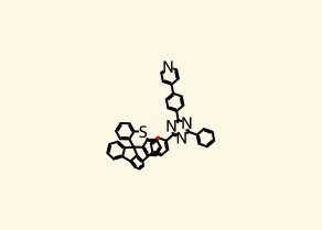 c1ccc(-c2nc(-c3ccc(-c4ccncc4)cc3)nc(-c3ccc(-c4cccc5c4C4(c6ccccc6Sc6ccccc64)c4ccccc4-5)cc3)n2)cc1